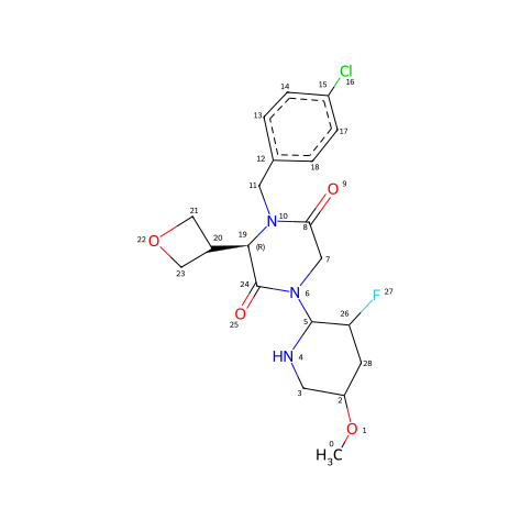 COC1CNC(N2CC(=O)N(Cc3ccc(Cl)cc3)[C@H](C3COC3)C2=O)C(F)C1